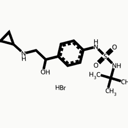 Br.CC(C)(C)NS(=O)(=O)Nc1ccc(C(O)CNC2CC2)cc1